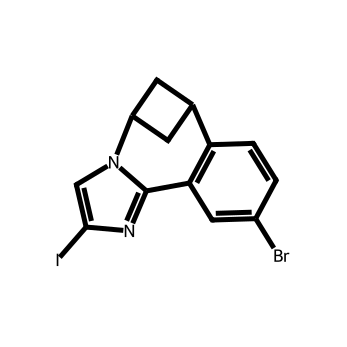 Brc1ccc2c(c1)-c1nc(I)cn1C1CC2C1